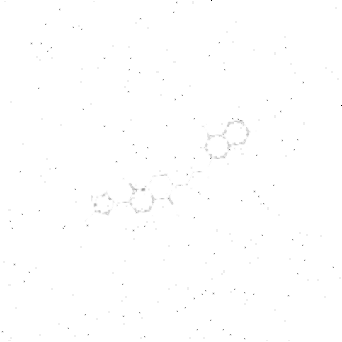 Cc1cn(-c2ccc3n(c2=O)CCN(CCOc2cc(Cl)c4ccccc4c2)C3=O)cn1